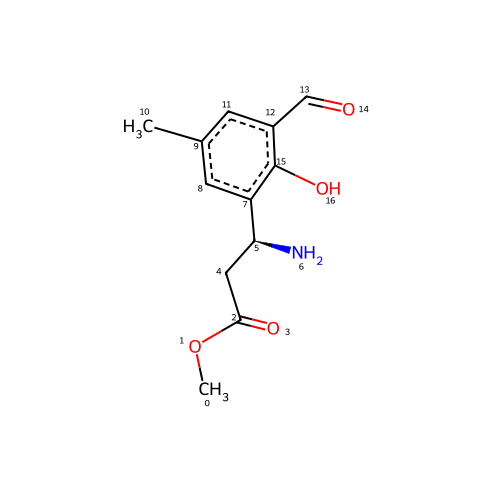 COC(=O)C[C@H](N)c1cc(C)cc(C=O)c1O